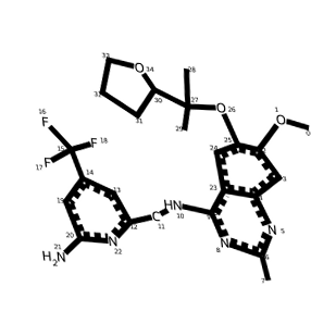 COc1cc2nc(C)nc(NCc3cc(C(F)(F)F)cc(N)n3)c2cc1OC(C)(C)C1CCCO1